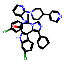 CC(c1ccc(Cl)cc1)n1cnc(-c2ccccc2)c1-c1c(C(=O)Nc2cccnc2N2CCC(c3ccncc3)CC2)[nH]c2cc(Cl)ccc12